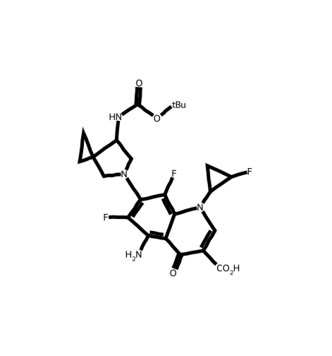 CC(C)(C)OC(=O)NC1CN(c2c(F)c(N)c3c(=O)c(C(=O)O)cn(C4CC4F)c3c2F)CC12CC2